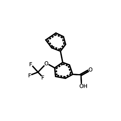 O=C(O)c1ccc(OC(F)(F)F)c(-c2ccccc2)c1